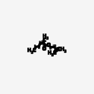 CCCC=C(C)C(=O)OCCN(C)C